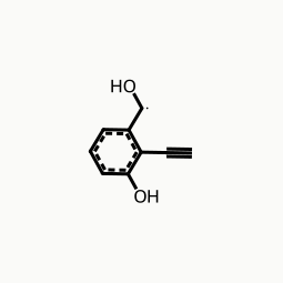 C#Cc1c(O)cccc1[CH]O